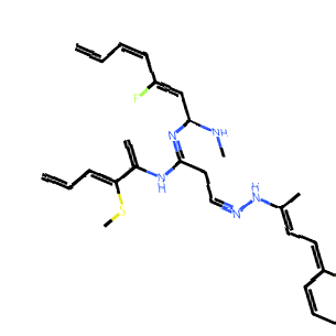 C=C/C=C\C(F)=C\C(/N=C(\C/C=N\N/C(C)=C/C=C(F)\C=C/C)NC(=C)/C(=C/C=C)SC)NC